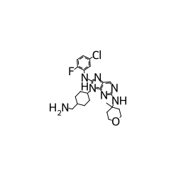 CC1(Nc2ncc3nc(Nc4cc(Cl)ccc4F)n(C4CCC(CN)CC4)c3n2)CCOCC1